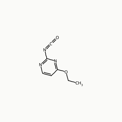 CCOc1ccnc(N=C=O)n1